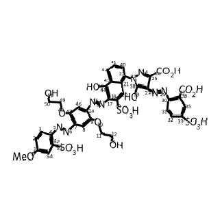 COc1ccc(/N=N/c2cc(OCCO)c(/N=N/c3c(S(=O)(=O)O)cc4c(-n5nc(C(=O)O)c(/N=N/c6ccc(S(=O)(=O)O)cc6C(=O)O)c5O)cccc4c3O)cc2OCCO)c(S(=O)(=O)O)c1